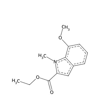 CCOC(=O)c1cc2cccc(OC)c2n1C